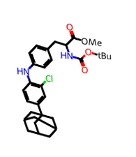 COC(=O)C(Cc1ccc(Nc2ccc(C34CC5CC(CC(C5)C3)C4)cc2Cl)cc1)NC(=O)OC(C)(C)C